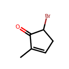 CC1=CCC(Br)C1=O